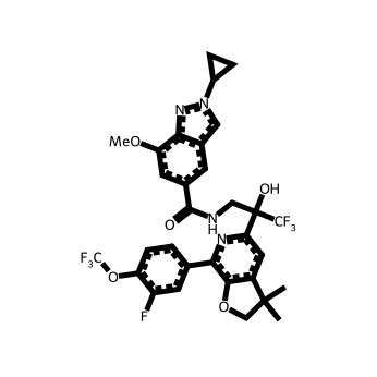 COc1cc(C(=O)NCC(O)(c2cc3c(c(-c4ccc(OC(F)(F)F)c(F)c4)n2)OCC3(C)C)C(F)(F)F)cc2cn(C3CC3)nc12